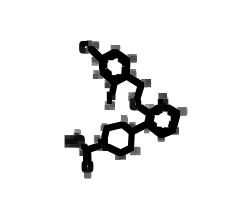 O=C(O)N1CCC(c2cccnc2OCc2ccc(Cl)cc2F)CC1